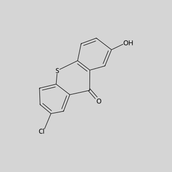 O=c1c2cc(O)ccc2sc2ccc(Cl)cc12